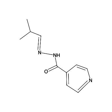 CC(C)C=NNC(=O)c1ccncc1